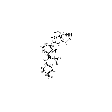 OC1(O)CNCC[C@H]1CNc1ncnc(N(Cc2ccc(C(F)(F)F)cc2)C2CC2)c1F